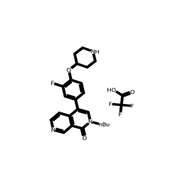 CCCCn1cc(-c2ccc(OC3CCNCC3)c(F)c2)c2ccncc2c1=O.O=C(O)C(F)(F)F